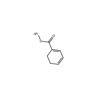 [CH2]CCOC(=O)C1=CC=CCC1